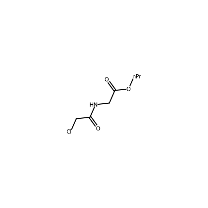 CCCOC(=O)CNC(=O)CCl